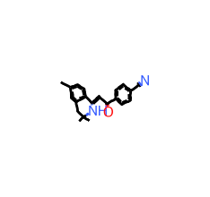 Cc1ccc2c(c1)CC(C)(C)NC2=CC(=O)c1ccc(C#N)cc1